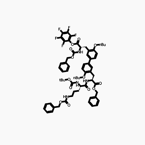 CCCCOc1ccc(-c2ccc(OCCCC)c(C[C@H](NC(=O)OCc3ccccc3)C(=O)Oc3c(F)c(F)c(F)c(F)c3F)c2)cc1C[C@H](NC(=O)[C@H](CCCNC(=O)OCc1ccccc1)NC(=O)OC(C)(C)C)C(=O)OCc1ccccc1